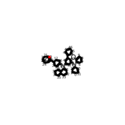 c1ccc(N(c2ccccc2)c2cc(N(c3ccc(C45CC6CC(CC4C6)C5)cc3)c3cccc4ccccc34)cc3c2oc2ccccc23)cc1